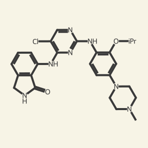 CC(C)Oc1cc(N2CCN(C)CC2)ccc1Nc1ncc(Cl)c(Nc2cccc3c2C(=O)NC3)n1